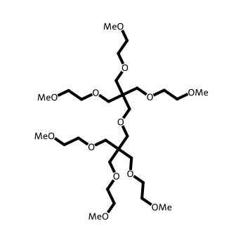 COCCOCC(COCCOC)(COCCOC)COCC(COCCOC)(COCCOC)COCCOC